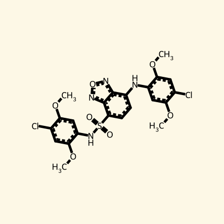 COc1cc(Nc2ccc(S(=O)(=O)Nc3cc(OC)c(Cl)cc3OC)c3nonc23)c(OC)cc1Cl